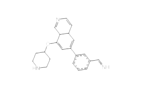 N=Cc1cccc(C2=CC3C=CN=CC3C(OC3CCNCC3)=C2)c1